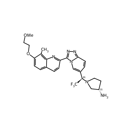 COCCOc1ccc2ccc(-c3nnc4ccc([C@@H](N5CC[C@H](N)C5)C(F)(F)F)cn34)nc2c1C